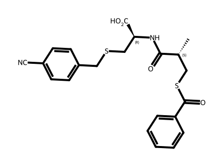 C[C@H](CSC(=O)c1ccccc1)C(=O)N[C@@H](CSCc1ccc(C#N)cc1)C(=O)O